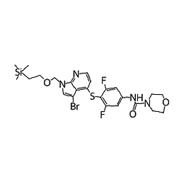 C[Si](C)(C)CCOCn1cc(Br)c2c(Sc3c(F)cc(NC(=O)N4CCOCC4)cc3F)ccnc21